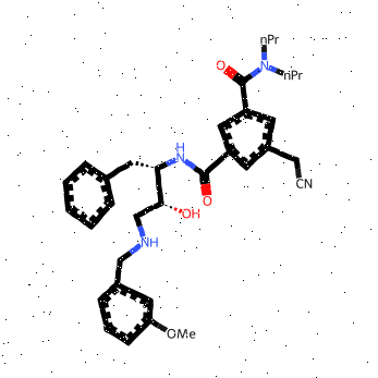 CCCN(CCC)C(=O)c1cc(CC#N)cc(C(=O)N[C@@H](Cc2ccccc2)[C@H](O)CNCc2cccc(OC)c2)c1